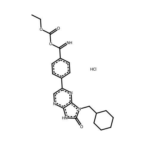 CCOC(=O)OC(=N)c1ccc(-c2cnc3[nH]c(=O)n(CC4CCCCC4)c3n2)cc1.Cl